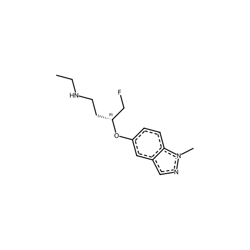 CCNCC[C@H](CF)Oc1ccc2c(cnn2C)c1